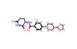 O=C1CCC(NC(=O)c2ccc(N3CCC(C4OCCO4)CC3)cc2F)C(=O)N1